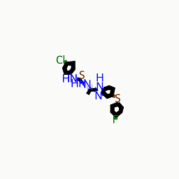 C/C(=N\NC(=S)Nc1ccc(Cl)cc1)c1nc2cc(Sc3ccc(F)cc3)ccc2[nH]1